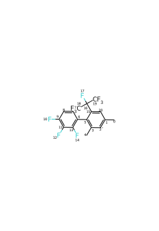 Cc1[c]c(C)c(-c2ccc(F)c(F)c2F)c(C(F)(C(F)(F)F)C(F)(F)F)c1